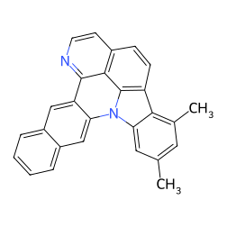 Cc1cc(C)c2c3ccc4ccnc5c6cc7ccccc7cc6n(c2c1)c3c45